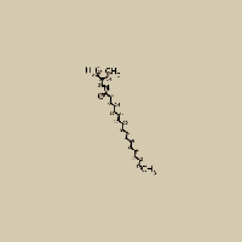 CCCCCCCCCCCCCCCCCC(=O)N=CC(CC)CC